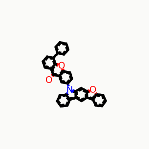 O=c1c2cc(-n3c4ccccc4c4cc5c(cc43)oc3ccccc35)ccc2oc2c(-c3ccccc3)cccc12